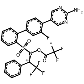 Nc1ncc(-c2ccc(-c3ccccc3S(=O)(=O)N(OC(=O)C(F)(F)F)[C@H](c3ccccc3)C(F)(F)F)cc2F)cn1